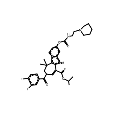 CC(C)OC(=O)C1=CC(C(=O)c2ccc(F)c(F)c2)CC(C)(C)c2c1[nH]c1cc(OC(=O)NCCN3CCCCC3)ccc21